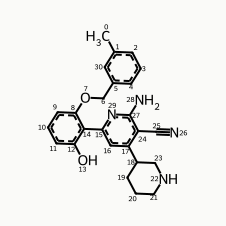 Cc1cccc(COc2cccc(O)c2-c2cc(C3CCCNC3)c(C#N)c(N)n2)c1